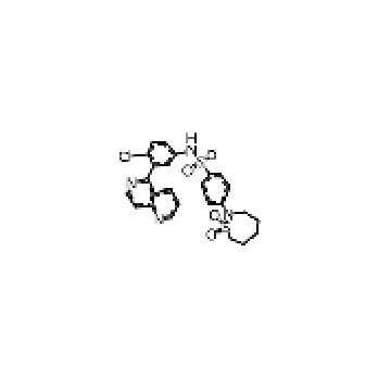 O=S(=O)(Nc1ccc(Cl)c(-c2nccc3ncccc23)c1)c1ccc(N2CCCCCS2(=O)=O)cc1